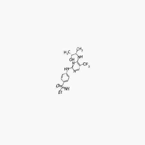 CCS(=N)(=O)c1ccc(Nc2ncc(C(F)(F)F)c(N[C@H](C)[C@@H](C)O)n2)cc1